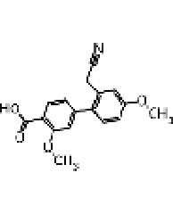 COc1ccc(-c2ccc(C(=O)O)c(OC)c2)c(CC#N)c1